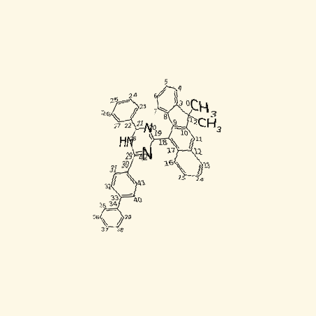 CC1(C)c2ccccc2-c2c1cc1ccccc1c2C1=NC(c2ccccc2)NC(c2ccc(-c3ccccc3)cc2)=N1